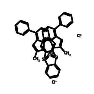 CC1=Cc2c(-c3ccccc3)cccc2[CH]1[Zr+2]1([CH]2C(C)=Cc3c(-c4ccccc4)cccc32)=[Si]2c3ccccc3[Si]=1c1ccccc12.[Cl-].[Cl-]